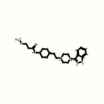 COCCC(=O)NC1CCC(CCN2CCN(c3noc4ccccc34)CC2)CC1